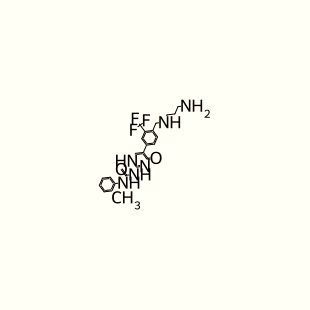 Cc1ccccc1NC(=O)Nc1nc(=O)c(-c2ccc(CNCCCN)c(C(F)(F)F)c2)c[nH]1